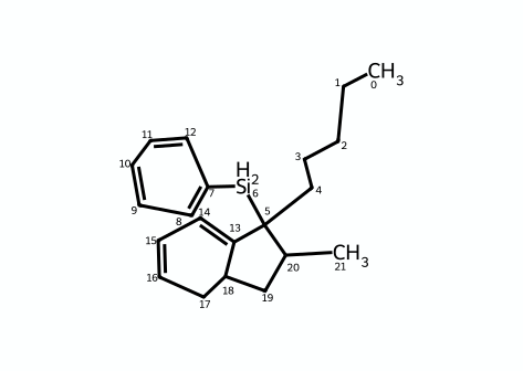 CCCCCC1([SiH2]c2ccccc2)C2=CC=CCC2CC1C